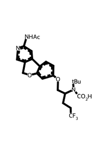 CC(=O)Nc1cc2c(cn1)COc1cc(OCC(CCC(F)(F)F)N(C(=O)O)C(C)(C)C)ccc1-2